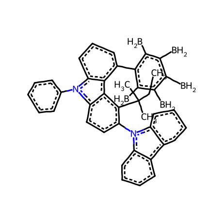 Bc1c(B)c(B)c(-c2cccc3c2c2c(C(C)(C)CC)c(-n4c5ccccc5c5ccccc54)ccc2n3-c2ccccc2)c(B)c1B